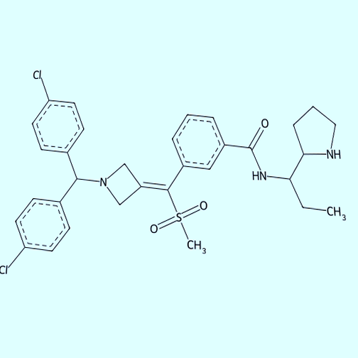 CCC(NC(=O)c1cccc(C(=C2CN(C(c3ccc(Cl)cc3)c3ccc(Cl)cc3)C2)S(C)(=O)=O)c1)C1CCCN1